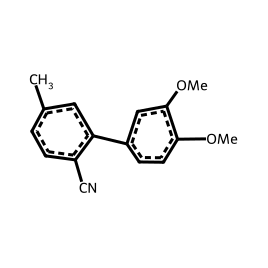 COc1ccc(-c2cc(C)ccc2C#N)cc1OC